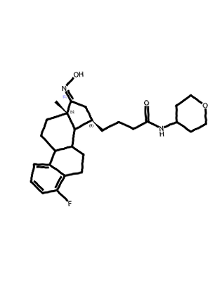 C[C@]12CCC3c4cccc(F)c4CCC3C1[C@H](CCCC(=O)NC1CCOCC1)C/C2=N\O